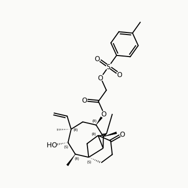 C=C[C@@]1(C)C[C@@H](OC(=O)COS(=O)(=O)c2ccc(C)cc2)[C@]2(C)C(C)C[C@]34C[C@@](CCC3=O)(C42)[C@@H](C)[C@@H]1O